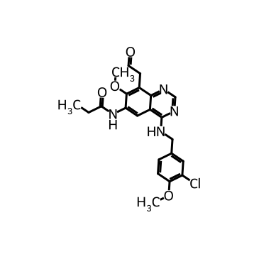 CCC(=O)Nc1cc2c(NCc3ccc(OC)c(Cl)c3)ncnc2c(CC=O)c1OC